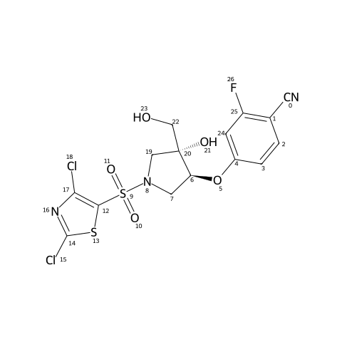 N#Cc1ccc(O[C@H]2CN(S(=O)(=O)c3sc(Cl)nc3Cl)C[C@@]2(O)CO)cc1F